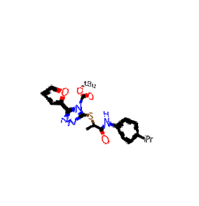 CC(Sc1nnc(-c2ccco2)n1C(=O)OC(C)(C)C)C(=O)Nc1ccc(C(C)C)cc1